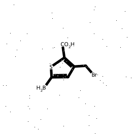 Bc1cc(CBr)c(C(=O)O)s1